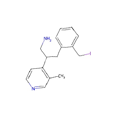 Cc1cnccc1C(CN)Cc1ccccc1CI